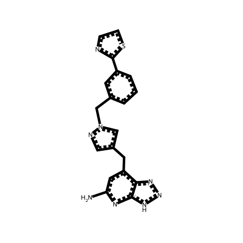 Nc1cc(Cc2cnn(Cc3cccc(-c4nccs4)c3)c2)c2nn[nH]c2n1